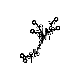 CC(CC(=O)NCCOCCOCC(=O)NC(CCC(=O)NC(CCC(=O)OCc1ccccc1)C(=O)OCc1ccccc1)C(=O)NC(CCC(=O)OCc1ccccc1)C(=O)OCc1ccccc1)NC(=O)OCC1c2ccccc2-c2ccccc21